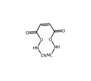 N#CNOC(=O)/C=C\C(=O)ONC#N